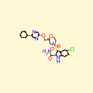 NC(=O)c1[nH]c2ccc(Cl)cc2c1S(=O)(=O)N1CCO[C@H](COc2cnc(-c3ccccc3)cn2)C1